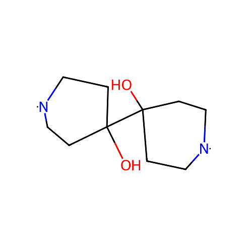 OC1(C2(O)CC[N]CC2)CC[N]CC1